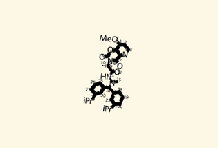 COc1ccnc2c(=O)n([C@@H](C)C(=O)NN(C)C(c3cccc(C(C)C)c3)c3cccc(C(C)C)c3)c(=O)oc12